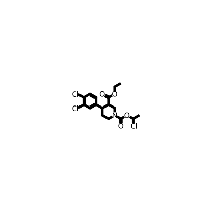 CCOC(=O)C1CN(C(=O)OC(C)Cl)CCC1c1ccc(Cl)c(Cl)c1